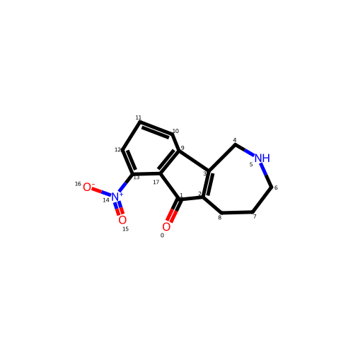 O=C1C2=C(CNCCC2)c2cccc([N+](=O)[O-])c21